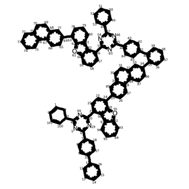 C1=CCC(c2nc(-c3ccc(-c4ccccc4)cc3)nc(-c3ccc(-c4ccc5c(ccc6cc(-c7ccccc7-c7ccc(-c8nc(-c9ccccc9)nc(-c9cccc%10oc%11c(-c%12ccc%13c(ccc%14ccccc%14%13)c%12)cccc%11c9%10)n8)cc7)ccc65)c4)c4oc5ccccc5c34)n2)C=C1